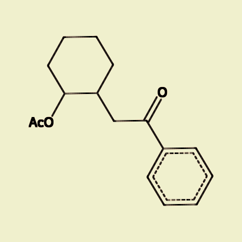 CC(=O)OC1CCCCC1CC(=O)c1ccccc1